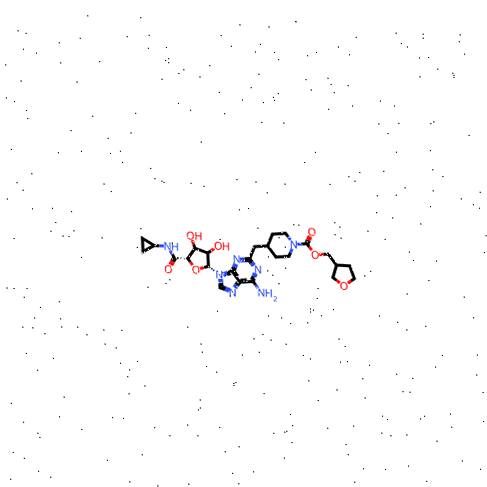 Nc1nc(CC2CCN(C(=O)OCC3CCOC3)CC2)nc2c1ncn2[C@@H]1O[C@H](C(=O)NC2CC2)C(O)C1O